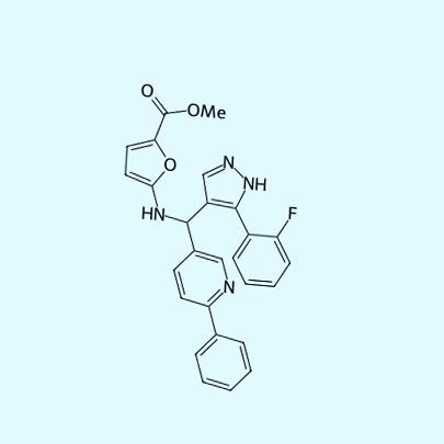 COC(=O)c1ccc(NC(c2ccc(-c3ccccc3)nc2)c2cn[nH]c2-c2ccccc2F)o1